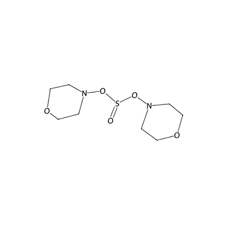 O=S(ON1CCOCC1)ON1CCOCC1